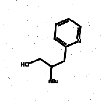 CCCCC(CO)Cc1ccccn1